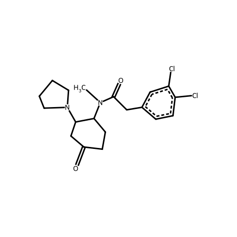 CN(C(=O)Cc1ccc(Cl)c(Cl)c1)C1CCC(=O)CC1N1CCCC1